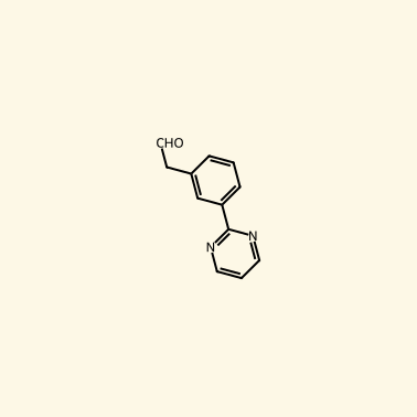 O=CCc1cccc(-c2ncccn2)c1